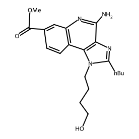 CCCCc1nc2c(N)nc3cc(C(=O)OC)ccc3c2n1CCCCO